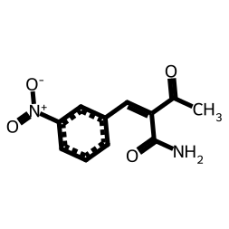 CC(=O)C(=Cc1cccc([N+](=O)[O-])c1)C(N)=O